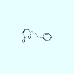 O=C1C=CC[C@H](CCc2ccccc2)O1